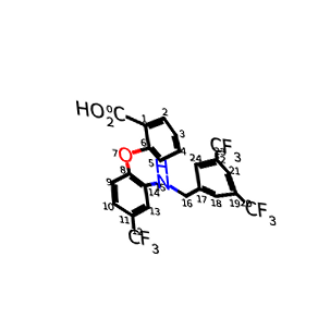 O=C(O)c1ccccc1Oc1ccc(C(F)(F)F)cc1NCc1cc(C(F)(F)F)cc(C(F)(F)F)c1